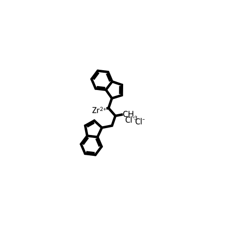 CC(CC1C=Cc2ccccc21)[CH]([Zr+2])C1C=Cc2ccccc21.[Cl-].[Cl-]